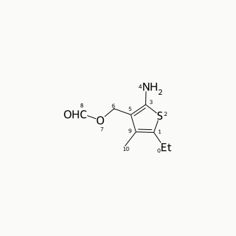 CCc1sc(N)c(COC=O)c1C